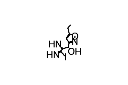 CCc1cc(C(O)C(=N)C(=N)I)no1